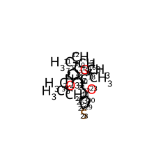 CC(C)(C)Oc1ccc(C(C)(C)C)c(OC(C)(C)C)c1C=CC(=O)C1=CCC(=S)C=C1